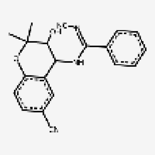 CC1(C)Oc2ccc(C#N)cc2C(N/C(=N\C#N)c2ccccc2)C1O